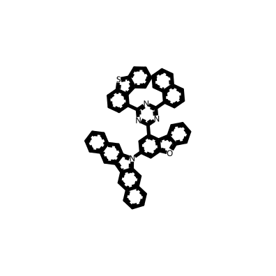 c1ccc2cc3c(cc2c1)c1cc2ccccc2cc1n3-c1cc(-c2nc(-c3cccc4ccccc34)nc(-c3cccc4sc5ccccc5c34)n2)c2c(c1)oc1ccccc12